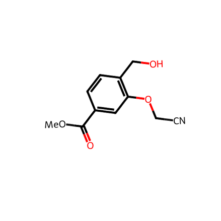 COC(=O)c1ccc(CO)c(OCC#N)c1